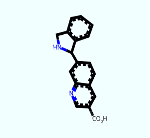 O=C(O)c1cnc2cc(C3NCc4ccccc43)ccc2c1